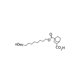 CCCCCCCCCCCCCCCCCCOC(=O)C12CCC(C1)C(C(=O)O)C2